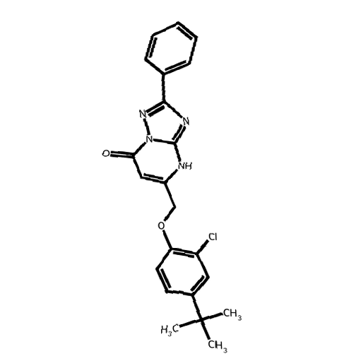 CC(C)(C)c1ccc(OCc2cc(=O)n3nc(-c4ccccc4)nc3[nH]2)c(Cl)c1